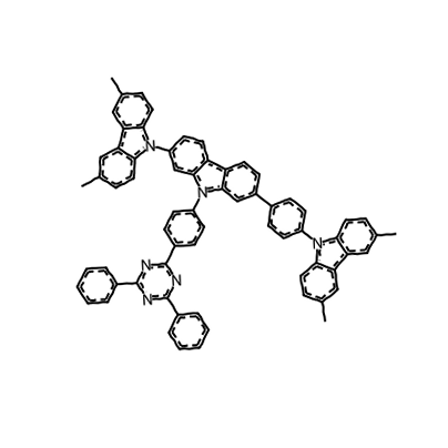 Cc1ccc2c(c1)c1cc(C)ccc1n2-c1ccc(-c2ccc3c4ccc(-n5c6ccc(C)cc6c6cc(C)ccc65)cc4n(-c4ccc(-c5nc(-c6ccccc6)nc(-c6ccccc6)n5)cc4)c3c2)cc1